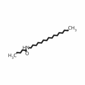 CCCCCCCCCCCCCCCCNC(=O)CCCC